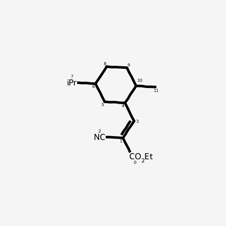 CCOC(=O)C(C#N)=CC1CC(C(C)C)CCC1C